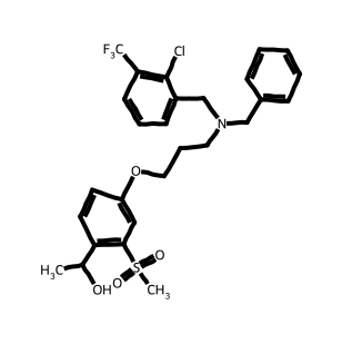 CC(O)c1ccc(OCCCN(Cc2ccccc2)Cc2cccc(C(F)(F)F)c2Cl)cc1S(C)(=O)=O